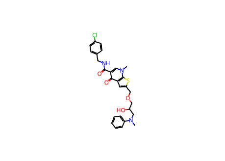 CN(CC(O)COCc1cc2c(=O)c(C(=O)NCc3ccc(Cl)cc3)cn(C)c2s1)c1ccccc1